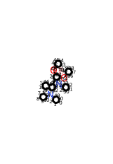 c1ccc(N(c2ccccc2)c2cc3c(c4ccccc24)c2cc4c5c(c2n3-c2ccccc2)Oc2ccccc2B5c2ccccc2O4)cc1